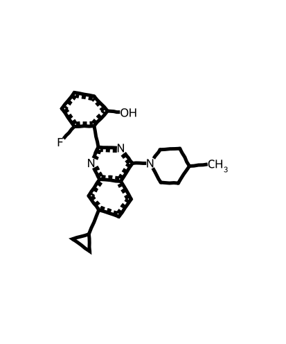 CC1CCN(c2nc(-c3c(O)cccc3F)nc3cc(C4CC4)ccc23)CC1